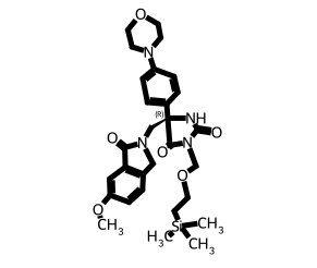 COc1ccc2c(c1)C(=O)N(C[C@@]1(c3ccc(N4CCOCC4)cc3)NC(=O)N(COCC[Si](C)(C)C)C1=O)C2